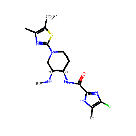 CCN[C@H]1CN(c2nc(C)c(C(=O)OCC)s2)CC[C@H]1NC(=O)c1nc(Cl)c(CC)[nH]1